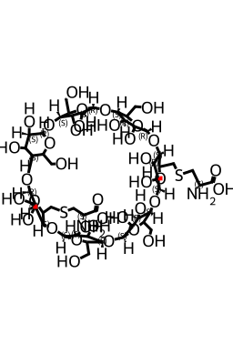 N[C@H](CSCC1O[C@H]2O[C@@H]3C(CO)O[C@H](O[C@@H]4C(CO)O[C@H](O[C@@H]5C(CO)O[C@H](O[C@@H]6C(CSC[C@@H](N)C(=O)O)O[C@H](O[C@@H]7C(CO)O[C@@H](O[C@@H]8C(CO)O[C@@H](O[C@H]1C(O)[C@@H]2O)[C@@H](O)C8O)C(O)[C@H]7O)C(O)[C@H]6O)C(O)[C@H]5O)[C@@H](O)C4O)[C@@H](O)C3O)C(=O)O